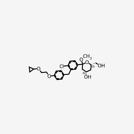 COC1(c2ccc(Cl)c(Cc3ccc(OCCOC4CC4)cc3)c2)C[C@@H](O)C[C@@H](CO)O1